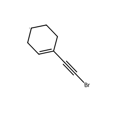 BrC#CC1=CC[CH]CC1